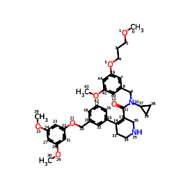 COCCCOc1cc(CN(C(=O)C2=C(c3cccc(COc4cc(OC)cc(OC)c4)c3)CCNC2)C2CC2)cc(OC)c1